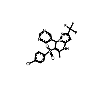 CC1=C(S(=O)(=O)c2ccc(Cl)cc2)C(c2cncnc2)n2nc(C(F)(F)F)cc2N1